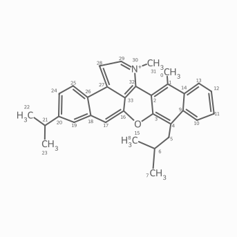 Cc1c2c(c(CC(C)C)c3ccccc13)Oc1cc3cc(C(C)C)ccc3c3cc[n+](C)c-2c13